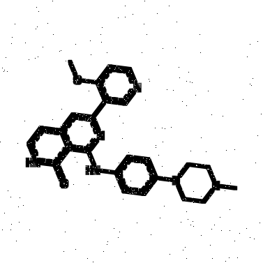 COc1ccncc1-c1cc2cc[nH]c(=O)c2c(Nc2ccc(N3CCN(C)CC3)cc2)n1